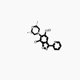 C[C@@H]1CN(c2c(C=O)cc3c(-c4ccccn4)noc3c2Cl)C[C@H](C)O1